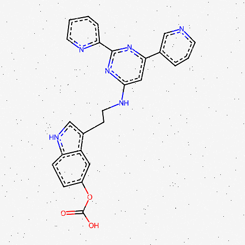 O=C(O)Oc1ccc2[nH]cc(CCNc3cc(-c4cccnc4)nc(-c4ccccn4)n3)c2c1